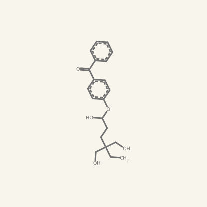 CCC(CO)(CO)CCC(O)Oc1ccc(C(=O)c2ccccc2)cc1